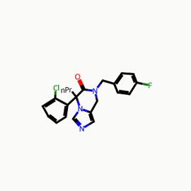 CCCC1(c2ccccc2Cl)C(=O)N(Cc2ccc(F)cc2)Cc2cncn21